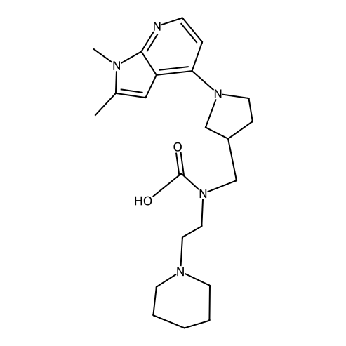 Cc1cc2c(N3CCC(CN(CCN4CCCCC4)C(=O)O)C3)ccnc2n1C